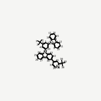 CC(C)(C)c1cc(-n2c3ccccc3c3ccccc32)cc(-n2c3ccccc3c3cc(-c4ccnc(C(C)(C)C)c4)ccc32)c1